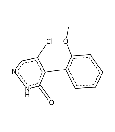 COc1ccccc1-c1c(Cl)cn[nH]c1=O